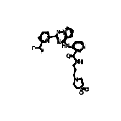 O=C(NCCCN1CCS(=O)(=O)CC1)c1cnccc1Nc1nc(-c2cccc(C(F)F)n2)nn2cccc12